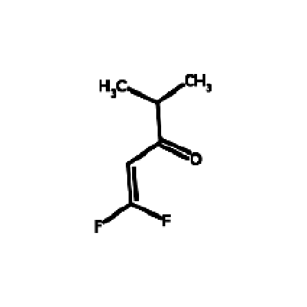 CC(C)C(=O)C=C(F)F